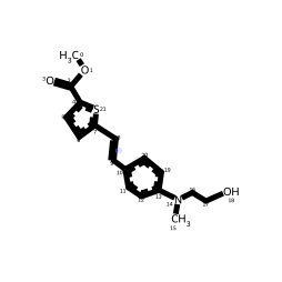 COC(=O)c1ccc(/C=C/c2ccc(N(C)CCO)cc2)s1